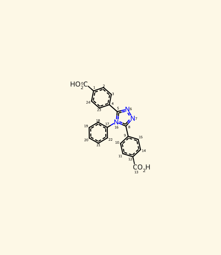 O=C(O)c1ccc(-c2nnc(-c3ccc(C(=O)O)cc3)n2-c2ccccc2)cc1